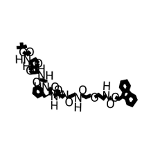 CC(C)(C)OC(=O)N[C@H]1CO[C@H]2[C@@H]1OC[C@@H]2NC(=O)CNC(=O)[C@H](Cc1ccccc1)NC(=O)CNC(=O)CNC(=O)CCOCCNC(=O)OCC1c2ccccc2-c2ccccc21